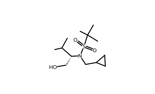 CC(C)[C@@H](CO)N(CC1CC1)S(=O)(=O)C(C)(C)C